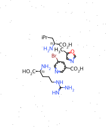 CC(C)C[C@H](N)C(=O)O.Cc1cnco1.N=C(N)NCCC[C@H](N)C(=O)O.O=C(O)c1cncc(Br)c1